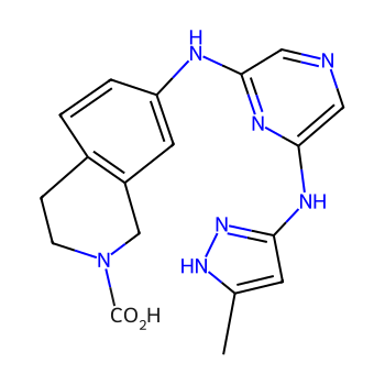 Cc1cc(Nc2cncc(Nc3ccc4c(c3)CN(C(=O)O)CC4)n2)n[nH]1